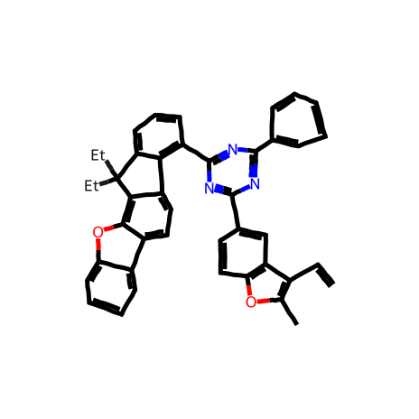 C=Cc1c(C)oc2ccc(-c3nc(-c4ccccc4)nc(-c4cccc5c4-c4ccc6c(oc7ccccc76)c4C5(CC)CC)n3)cc12